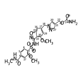 CNC(=O)c1ccc(S(=O)(=O)Nc2noc3cc(Cn4cc(COC(N)=O)cn4)cc(OC)c23)c(OC)c1